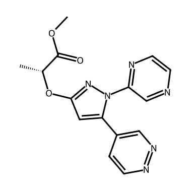 COC(=O)[C@@H](C)Oc1cc(-c2ccnnc2)n(-c2cnccn2)n1